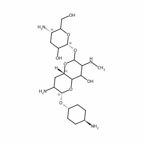 CNC1C(O[C@H]2OC(CO)[C@@H](N)CC2O)O[C@H]2CC(N)[C@@H](O[C@H]3CC[C@H](N)CC3)OC2C1O